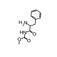 COC(=O)NC(=O)C(N)Cc1ccccc1